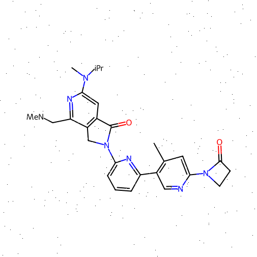 CNCc1nc(N(C)C(C)C)cc2c1CN(c1cccc(-c3cnc(N4CCC4=O)cc3C)n1)C2=O